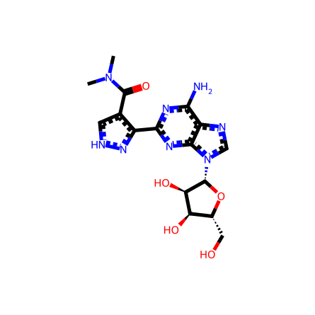 CN(C)C(=O)c1c[nH]nc1-c1nc(N)c2ncn([C@@H]3O[C@H](CO)[C@@H](O)[C@H]3O)c2n1